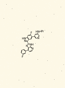 CC(C)Nc1cncc(-c2cc3c(-c4nc5c(-c6cccc(F)c6)ccnc5[nH]4)n[nH]c3cc2F)c1